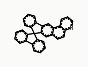 c1ccc2c(c1)-c1ccccc1C21c2ccccc2-c2cc3c(ccc4ncccc43)cc21